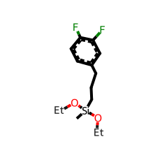 CCO[Si](C)(CCCc1ccc(F)c(F)c1)OCC